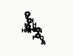 CN(C)CCOc1cc(F)cc(-c2nccc3[nH]c(-c4n[nH]c5cnc(-c6cncc(CN7CCCCC7)c6)cc45)cc23)c1